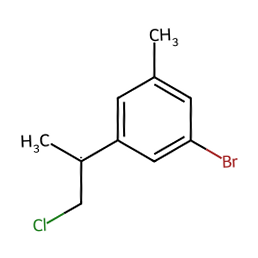 C[C](CCl)c1cc(C)cc(Br)c1